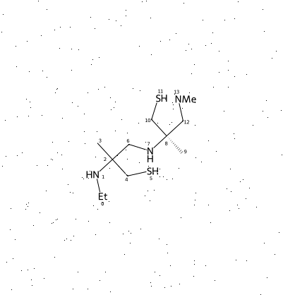 CCNC(C)(CS)CN[C@@](C)(CS)CNC